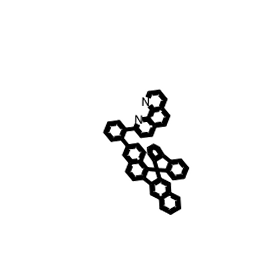 c1ccc(-c2ccc3ccc4cccnc4c3n2)c(-c2ccc3c4c(ccc3c2)-c2cc3ccccc3cc2C42c3ccccc3-c3ccccc32)c1